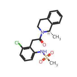 C[C@H]1c2ccccc2CCN1C(=O)Cc1c(Cl)cccc1NS(C)(=O)=O